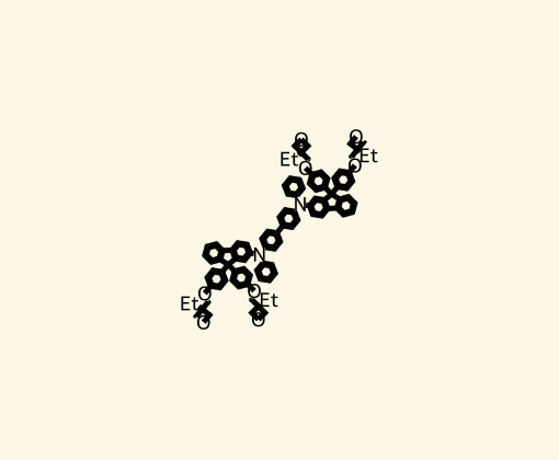 CCC1(COc2ccc(C3(c4ccc(OCC5(CC)COC5)cc4)c4ccccc4-c4ccc(N(c5ccccc5)c5ccc(-c6ccc(N(c7ccccc7)c7ccc8c(c7)C(c7ccc(OCC9(CC)COC9)cc7)(c7ccc(OCC9(CC)COC9)cc7)c7ccccc7-8)cc6)cc5)cc43)cc2)COC1